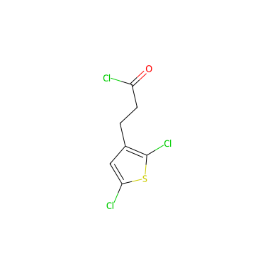 O=C(Cl)CCc1cc(Cl)sc1Cl